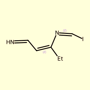 CCC(=C/C=N)/N=C\I